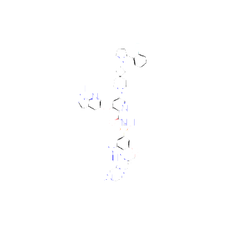 CN1CCN(C[C@H]2COc3cc(S(=O)(=O)NC(=O)c4ncc(N5CCC6(CC5)CC(N5CCCC5c5ccccc5F)C6)cc4Oc4cnc5[nH]ccc5c4)cc(N)c3N2)CC1